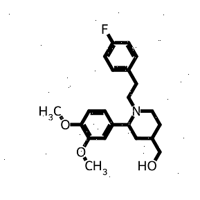 COc1ccc(C2CC(CO)CCN2CCc2ccc(F)cc2)cc1OC